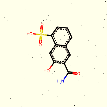 NC(=O)c1cc2cccc(S(=O)(=O)O)c2cc1O